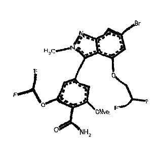 COc1cc(-c2c3c(OCC(F)F)cc(Br)cc3nn2C)cc(OC(F)F)c1C(N)=O